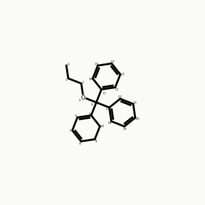 CCCOC(C1=CC=CCC1)(c1ccccc1)c1ccccc1